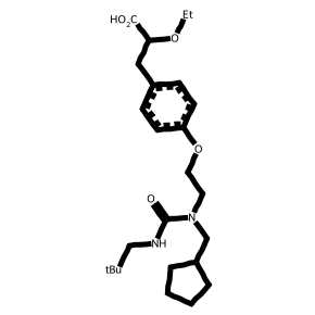 CCOC(Cc1ccc(OCCN(CC2CCCC2)C(=O)NCC(C)(C)C)cc1)C(=O)O